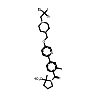 CCC(F)(CC)CN1CCC(COc2ccc(-c3ccc(C(=O)N4CCCC4(C)C(=O)O)c(F)c3)nc2)CC1